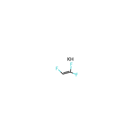 FC=C(F)F.[KH]